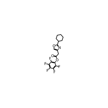 O=C(Cc1coc(C2CCCCC2)n1)Oc1c(F)c(F)c(F)c(F)c1F